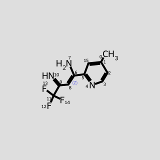 Cc1ccnc(/C(N)=C/C(=N)C(F)(F)F)c1